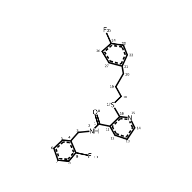 O=C(NCc1ccccc1F)c1cccnc1SCCCc1ccc(F)cc1